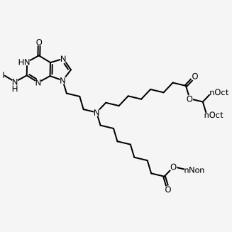 CCCCCCCCCOC(=O)CCCCCCCN(CCCCCCCC(=O)OC(CCCCCCCC)CCCCCCCC)CCCn1cnc2c(=O)[nH]c(NI)nc21